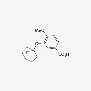 COc1ccc(C(=O)O)cc1OC12CCC(CC1)C2